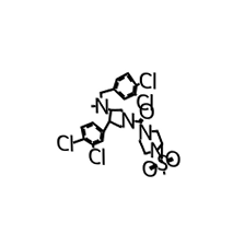 CN(Cc1ccc(Cl)c(Cl)c1)C1CN(C(=O)N2CCN(S(C)(=O)=O)CC2)CC1c1ccc(Cl)c(Cl)c1